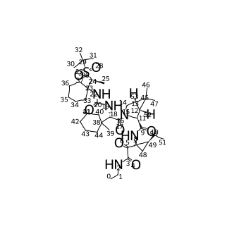 CCNC(=O)C(=O)[C@@]1(NC(=O)[C@@H]2[C@@H]3[C@H](CN2C(=O)[C@@H](NC(=O)NC2([C@H](C)S(=O)(=O)C(C)(C)C)CCCCC2)C2(C)CCCCC2)C3(C)C)C[C@@H]1CC